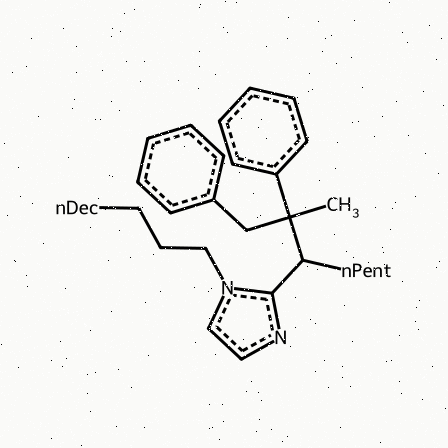 CCCCCCCCCCCCCn1ccnc1C(CCCCC)C(C)(Cc1ccccc1)c1ccccc1